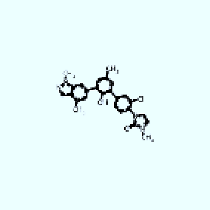 Cc1cc(-c2ccc(-n3ccn(C)c3=O)c(Cl)c2)c(O)c(-c2cc(C)c3cnn(C)c3c2)c1